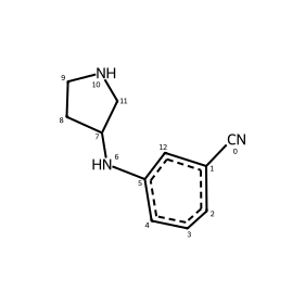 N#Cc1cccc(NC2CCNC2)c1